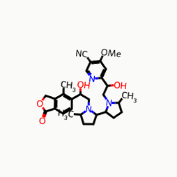 COc1cc(C(O)CN2C(C)CCC2C2CCC(C)N2CC(O)c2ccc3c(c2C)COC3=O)ncc1C#N